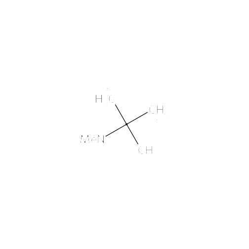 [CH]NC(C)(C)C